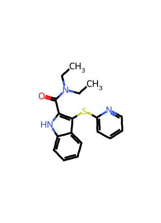 CCN(CC)C(=O)c1[nH]c2ccccc2c1Sc1ccccn1